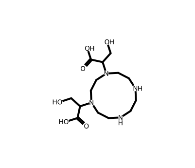 O=C(O)C(CO)N1CCNCCNCCN(C(CO)C(=O)O)CC1